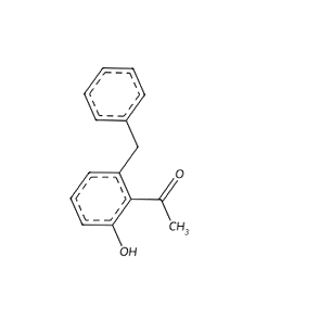 CC(=O)c1c(O)cccc1Cc1ccccc1